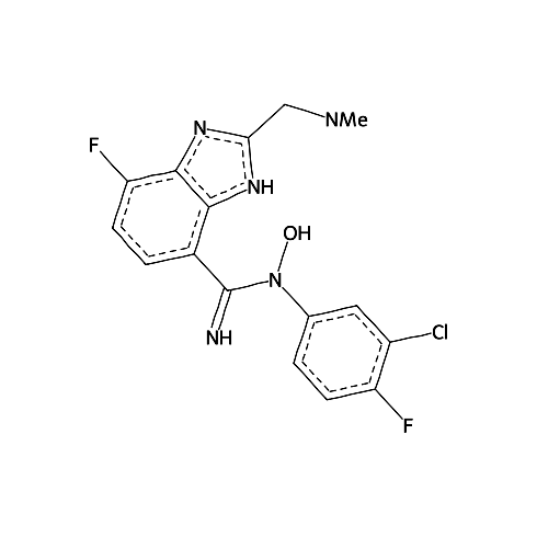 CNCc1nc2c(F)ccc(C(=N)N(O)c3ccc(F)c(Cl)c3)c2[nH]1